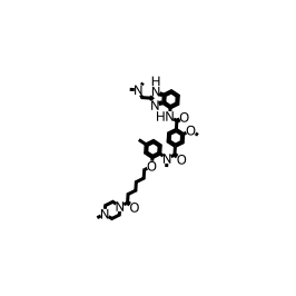 COc1cc(C(=O)N(C)c2ccc(C)cc2OCCCCCC(=O)N2CCN(C)CC2)ccc1C(=O)Nc1cccc2[nH]c(CN(C)C)nc12